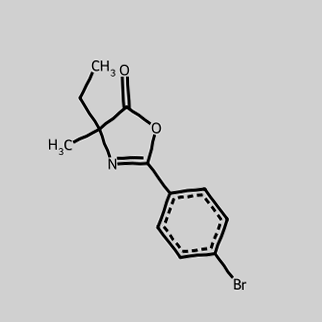 CCC1(C)N=C(c2ccc(Br)cc2)OC1=O